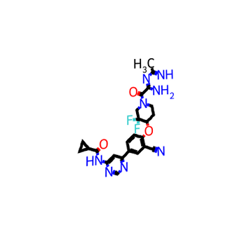 CC(=N)/N=C(\N)C(=O)N1CCC(Oc2ccc(-c3cc(NC(=O)C4CC4)ncn3)cc2C#N)C(F)(F)C1